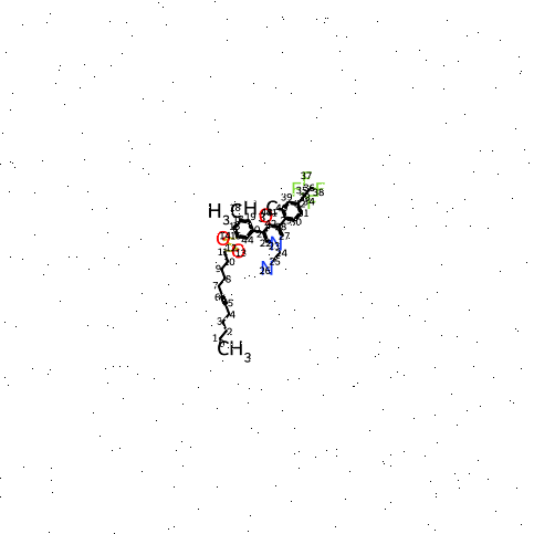 CCCCCC#CCCCCCS(=O)(=O)c1cc(C)cc(-c2cn(CC#N)cc(-c3ccc(C(F)(F)C(F)F)cc3C)c2=O)c1